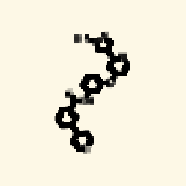 Cn1cc(-c2cc(Oc3cccc(NC(=O)c4cccc(-c5ccncc5)c4)c3)ccn2)cn1